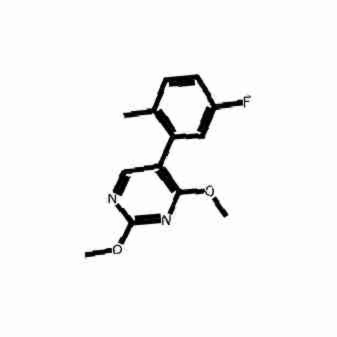 COc1ncc(-c2cc(F)ccc2C)c(OC)n1